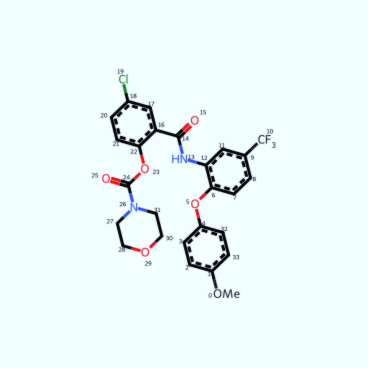 COc1ccc(Oc2ccc(C(F)(F)F)cc2NC(=O)c2cc(Cl)ccc2OC(=O)N2CCOCC2)cc1